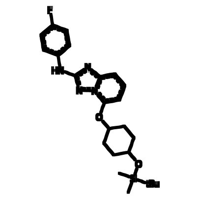 CC(C)(C)[Si](C)(C)OC1CCC(Oc2cccc3nc(Nc4ccc(F)cc4)nn23)CC1